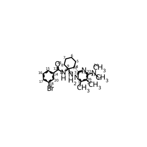 Cc1nc([C@H]2CCCC[C@@]2(N)NC(=O)c2cccc(Br)c2)nc(N(C)C)c1C